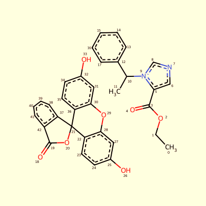 CCOC(=O)c1cncn1C(C)c1ccccc1.O=C1OC2(c3ccc(O)cc3Oc3cc(O)ccc32)c2ccccc21